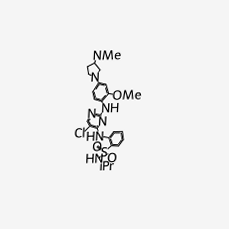 CNC1CCN(c2ccc(Nc3ncc(Cl)c(Nc4ccccc4S(=O)(=O)NC(C)C)n3)c(OC)c2)C1